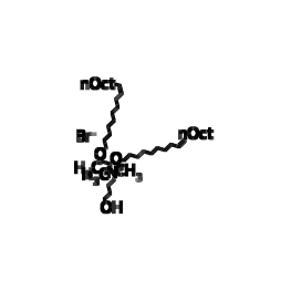 CCCCCCCC/C=C\CCCCCCCCOC(C)C(OCCCCCCCC/C=C\CCCCCCCC)[N+](C)(C)CCCCO.[Br-]